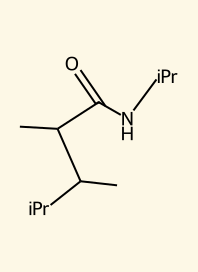 CC(C)NC(=O)C(C)C(C)C(C)C